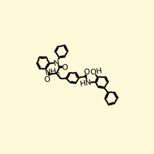 NC(=O)C(Cc1ccc(C(=O)Nc2cc(-c3ccccc3)ccc2O)cc1)C(=O)N(c1ccccc1)c1ccccc1